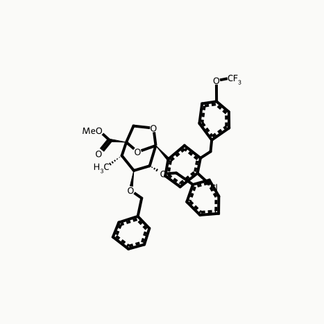 COC(=O)[C@@]12CO[C@@](c3ccc(Cl)c(Cc4ccc(OC(F)(F)F)cc4)c3)(O1)[C@H](OCc1ccccc1)[C@@H](OCc1ccccc1)[C@@H]2C